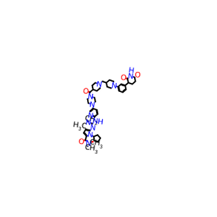 C=N/C(=N\c1c(C)cc(C(=O)N(C)C)n1C1CCCC1)Nc1ccc(N2CCN(C(=O)C3CCN(CC4CCN(c5cccc(C6CCC(=O)NC6=O)c5)CC4)CC3)CC2)cn1